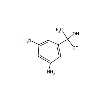 Nc1cc(N)cc(C(O)(C(F)(F)F)C(F)(F)F)c1